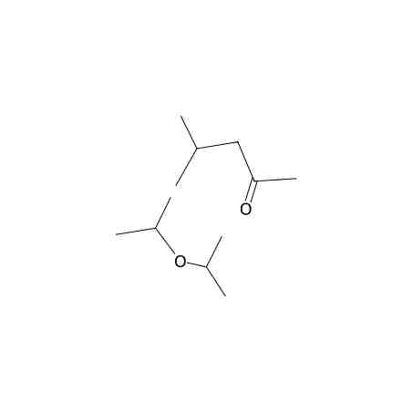 CC(=O)CC(C)C.CC(C)OC(C)C